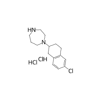 Cl.Cl.Clc1ccc2c(c1)CCC(N1CCCNCC1)C2